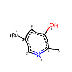 Cc1ncc(C(C)(C)C)cc1O